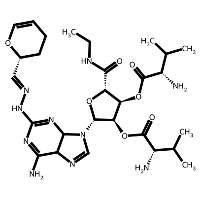 CCNC(=O)[C@H]1O[C@@H](N2C=NC3C(N)=NC(N/N=C/[C@H]4CCC=CO4)=NC32)[C@H](OC(=O)[C@@H](N)C(C)C)[C@@H]1OC(=O)[C@@H](N)C(C)C